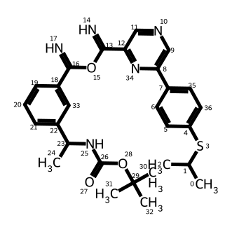 CC(C)Sc1ccc(-c2cncc(C(=N)OC(=N)c3cccc(C(C)NC(=O)OC(C)(C)C)c3)n2)cc1